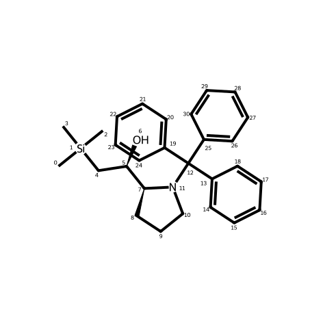 C[Si](C)(C)C[C@@H](O)[C@@H]1CCCN1C(c1ccccc1)(c1ccccc1)c1ccccc1